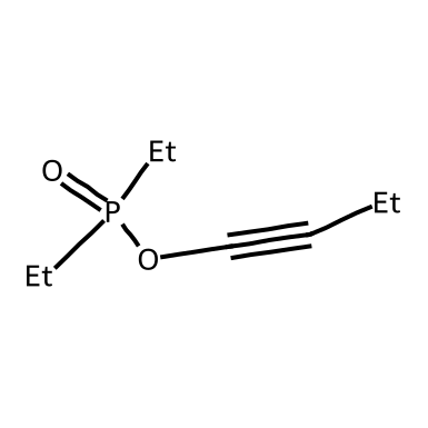 CCC#COP(=O)(CC)CC